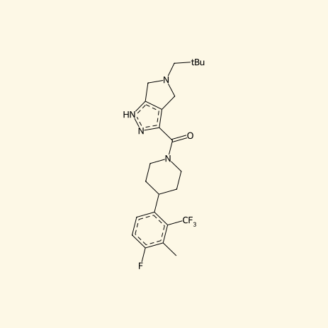 Cc1c(F)ccc(C2CCN(C(=O)c3n[nH]c4c3CN(CC(C)(C)C)C4)CC2)c1C(F)(F)F